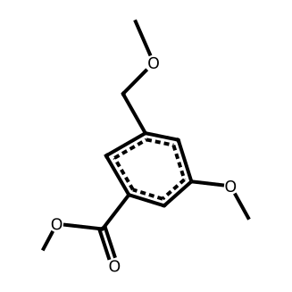 COCc1cc(OC)cc(C(=O)OC)c1